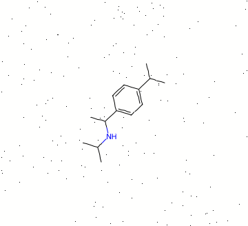 CC(C)NC(C)c1ccc(C(C)C)cc1